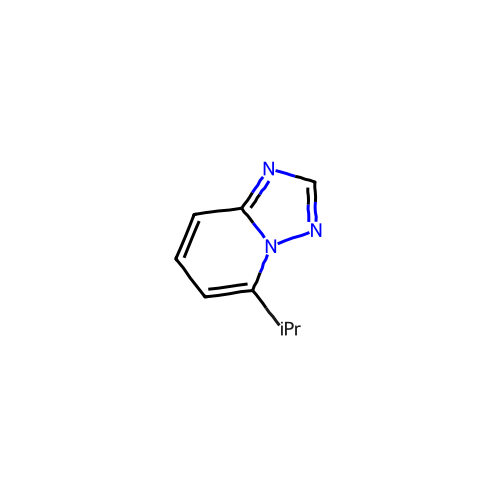 CC(C)c1cccc2ncnn12